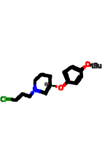 CC(C)(C)Oc1ccc(O[C@H]2CCCN(CCCCl)C2)cc1